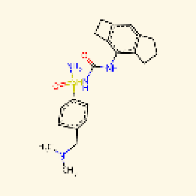 CN(C)Cc1ccc([SH](N)(=O)NC(=O)Nc2c3c(cc4c2CC4)CCC3)cc1